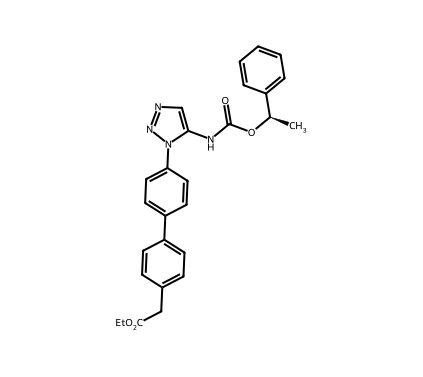 CCOC(=O)Cc1ccc(-c2ccc(-n3nncc3NC(=O)O[C@H](C)c3ccccc3)cc2)cc1